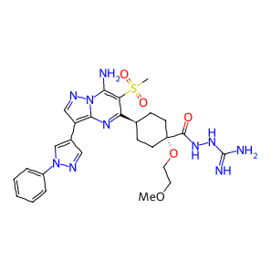 COCCO[C@]1(C(=O)NNC(=N)N)CC[C@@H](c2nc3c(-c4cnn(-c5ccccc5)c4)cnn3c(N)c2S(C)(=O)=O)CC1